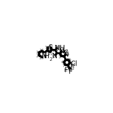 NC(c1cc(-c2ccc(C(F)(F)F)c(Cl)c2)ncn1)C(N)c1cc(-c2ccccn2)cs1